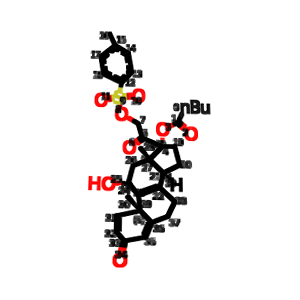 CCCCC(=O)O[C@]1(C(=O)COS(=O)(=O)c2ccc(C)cc2)CC[C@H]2C3=C([C@@H](O)C[C@@]21C)[C@@]1(C)C=CC(=O)C=C1CC3